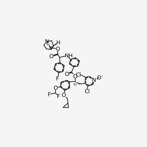 O=C(O[C@@H](Cc1c(Cl)c[n+]([O-])cc1Cl)c1ccc(OC(F)F)c(OCC2CC2)c1)c1cccc(NC(C(=O)O[C@H]2CN3CCC2CC3)c2ccc(F)cc2)c1